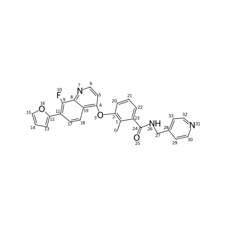 Cc1c(Oc2ccnc3c(F)c(-c4ccco4)ccc23)cccc1C(=O)NCc1ccncc1